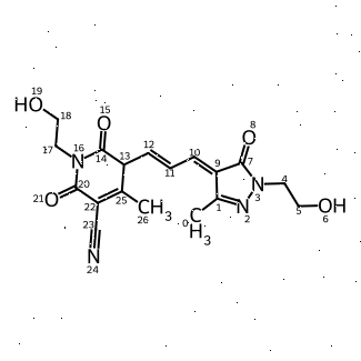 CC1=NN(CCO)C(=O)C1=CC=CC1C(=O)N(CCO)C(=O)C(C#N)=C1C